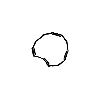 [C]1=C\C/C=C/C=C\CC/C=C\C/1